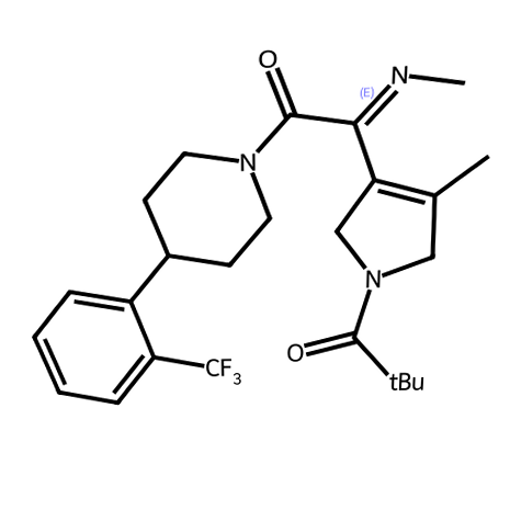 C/N=C(/C(=O)N1CCC(c2ccccc2C(F)(F)F)CC1)C1=C(C)CN(C(=O)C(C)(C)C)C1